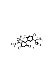 Cc1cc(OI)c(C(C)C)cc1-c1cc(C(C)C)c(OI)cc1C